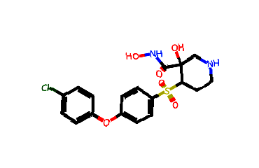 O=C(NO)C1(O)CNCCC1S(=O)(=O)c1ccc(Oc2ccc(Cl)cc2)cc1